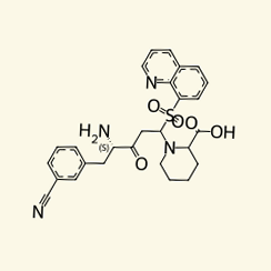 N#Cc1cccc(C[C@H](N)C(=O)CC(N2CCCCC2C(=O)O)S(=O)(=O)c2cccc3cccnc23)c1